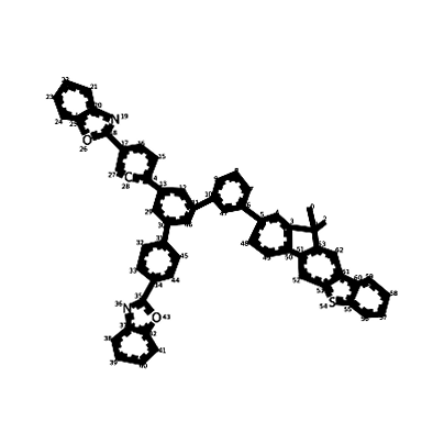 CC1(C)c2cc(-c3cccc(-c4cc(-c5ccc(-c6nc7ccccc7o6)cc5)cc(-c5ccc(-c6nc7ccccc7o6)cc5)c4)c3)ccc2-c2cc3sc4ccccc4c3cc21